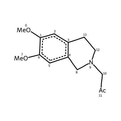 COc1cc2c(cc1OC)CN(CC(C)=O)CC2